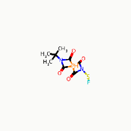 CC(C)(C)N1C(=O)[PH]2(C(=O)N(SF)C2=O)C1=O